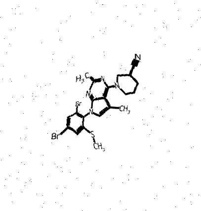 CSc1cc(Br)cc(Br)c1-n1cc(C)c2c(N3CCCC(C#N)C3)nc(C)nc21